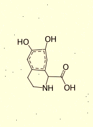 O=C(O)C1NCCc2cc(O)c(O)cc21